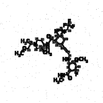 CNC(=O)c1cc(NCC#Cc2cc(C(=O)N[C@H]3CCN(C(C)COC)C[C@@H]3C)c3ncn(CC(F)(F)F)c3c2)c(OC)cc1F